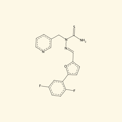 NC(=S)N(Cc1cccnc1)N=Cc1ccc(-c2cc(F)ccc2F)o1